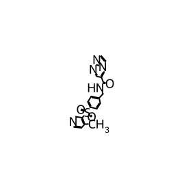 Cc1ccncc1S(=O)(=O)c1ccc(CNC(=O)c2cnc3nccn3c2)cc1